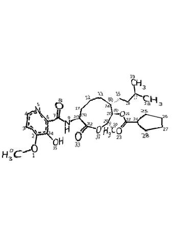 COc1ccnc(C(=O)N[C@H]2CCC[C@H](CCC(C)C)[C@@H](OC(=O)C3CCCC3)[C@H](C)OC2=O)c1O